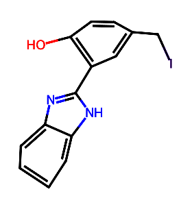 Oc1ccc(CI)cc1-c1nc2ccccc2[nH]1